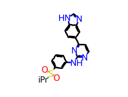 CC(C)S(=O)(=O)c1cccc(Nc2nccc(-c3ccc4[nH]cnc4c3)n2)c1